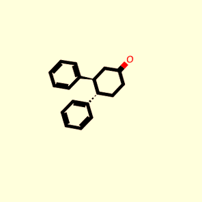 O=C1CC[C@H](c2ccccc2)[C@@H](c2ccccc2)C1